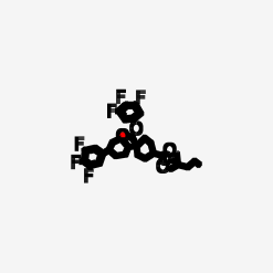 CCCC12COC(C3CCC(C(=O)Oc4cc(F)c(F)c(F)c4)(C4CCC(c5cc(F)c(F)c(F)c5)CC4)CC3)(OC1)OC2